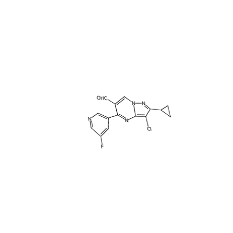 O=Cc1cn2nc(C3CC3)c(Cl)c2nc1-c1cncc(F)c1